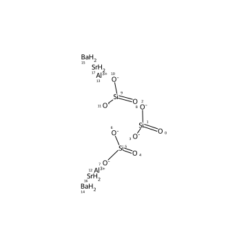 O=[Si]([O-])[O-].O=[Si]([O-])[O-].O=[Si]([O-])[O-].[Al+3].[Al+3].[BaH2].[BaH2].[SrH2].[SrH2]